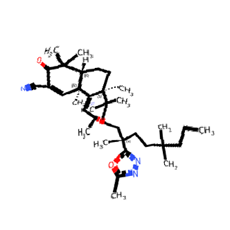 CCCC(C)(C)CC[C@@](C)(CCC(C)(C)[C@]1(C)CC[C@H]2C(C)(C)C(=O)C(C#N)=C[C@]2(C)/C1=C/C(C)=O)c1nnc(C)o1